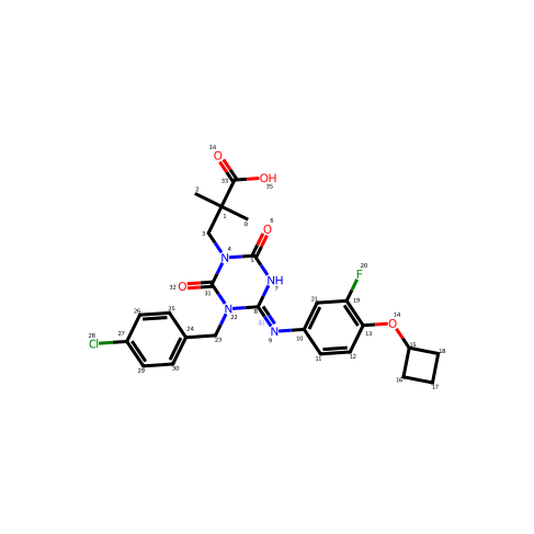 CC(C)(Cn1c(=O)[nH]/c(=N\c2ccc(OC3CCC3)c(F)c2)n(Cc2ccc(Cl)cc2)c1=O)C(=O)O